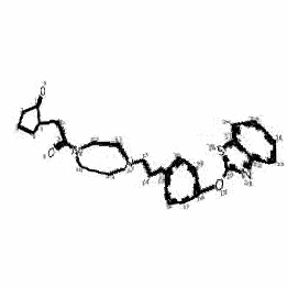 O=C1CCCC1CC(=O)N1CCN(CCc2ccc(Oc3nc4ccccc4s3)cc2)CC1